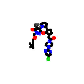 C[Si](C)(C)CCOCn1ncc(N2CCC[C@H]2C2CCC(CC(=O)N3CCN(c4ncc(Cl)cn4)CC3)C2=O)c(C(F)(F)F)c1=O